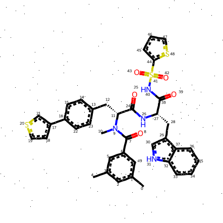 Cc1cc(C)cc(C(=O)N(C)[C@H](Cc2ccc(-c3ccsc3)cc2)C(=O)N[C@@H](Cc2c[nH]c3ccccc23)C(=O)NS(=O)(=O)c2cccs2)c1